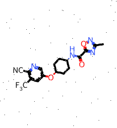 Cc1noc(C(=O)N[C@H]2CC[C@H](Oc3cnc(C#N)c(C(F)(F)F)c3)CC2)n1